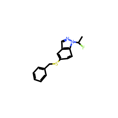 CC(F)n1ncc2cc(SCc3ccccc3)ccc21